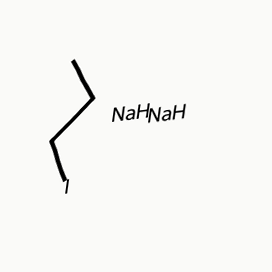 CCCI.[NaH].[NaH]